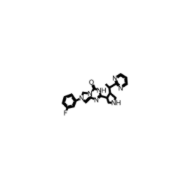 CC(c1ncccn1)C1CNCC1C1=NC2=CN(c3cccc(F)c3)CN2C(=O)N1